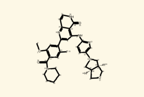 COc1cc(-c2cc(Nc3ccc(N4C[C@H]5COC[C@H]5C4)cn3)c3c(=O)[nH]ccc3n2)c(F)cc1C(=O)N1CCCCC1